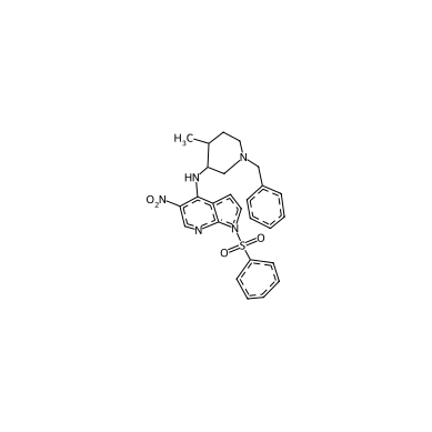 CC1CCN(Cc2ccccc2)CC1Nc1c([N+](=O)[O-])cnc2c1ccn2S(=O)(=O)c1ccccc1